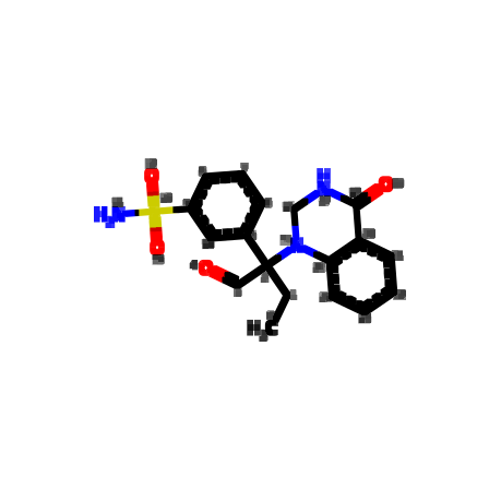 CCC(C=O)(c1cccc(S(N)(=O)=O)c1)N1CNC(=O)c2ccccc21